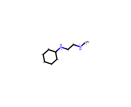 CCCNCCNC1CCCCC1